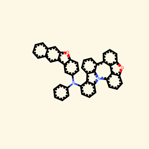 c1ccc(N(c2ccc3oc4cc5ccccc5cc4c3c2)c2cccc3c2c2cccc4c5cccc6oc7cccc(c7c65)n3c42)cc1